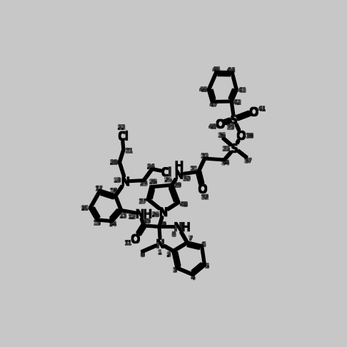 CN1c2ccccc2NC1(C(=O)Nc1ccccc1N(CCCl)CCCl)n1ccc(NC(=O)CCS(C)(C)OS(=O)(=O)c2ccccc2)c1